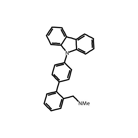 CNCc1ccccc1-c1ccc(-n2c3ccccc3c3ccccc32)cc1